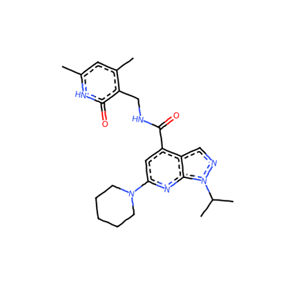 Cc1cc(C)c(CNC(=O)c2cc(N3CCCCC3)nc3c2cnn3C(C)C)c(=O)[nH]1